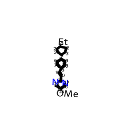 CC[C@H]1CC[C@H](c2ccc(C#Cc3ncc(OC)cn3)cc2)CC1